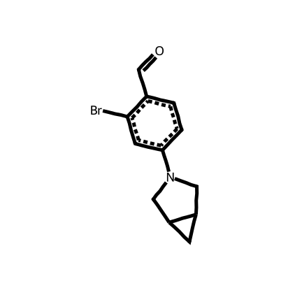 O=Cc1ccc(N2CC3CC3C2)cc1Br